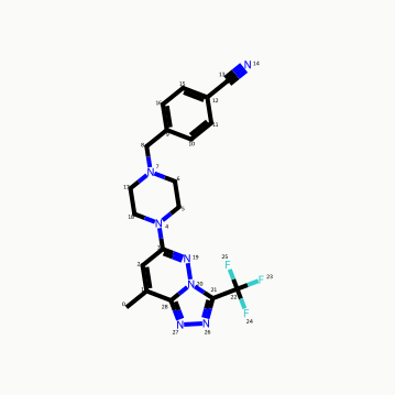 Cc1cc(N2CCN(Cc3ccc(C#N)cc3)CC2)nn2c(C(F)(F)F)nnc12